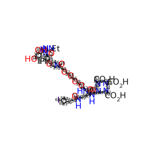 CCNC(=O)c1nnc(-c2cc(C(C)C)c(O)cc2O)n1-c1ccc(OC2CCN(C(=O)CCOCCOCCOCCOCCNC(=O)[C@H](CCCCNC(=O)CCCc3ccc(I)cc3)NC(=O)CN3CCN(CC(=O)O)CCN(CC(=O)O)CCN(CC(=O)O)CC3)CC2)cc1